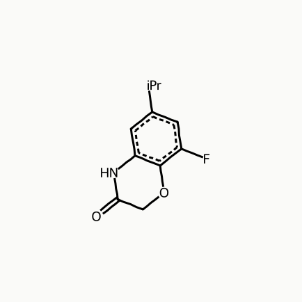 CC(C)c1cc(F)c2c(c1)NC(=O)CO2